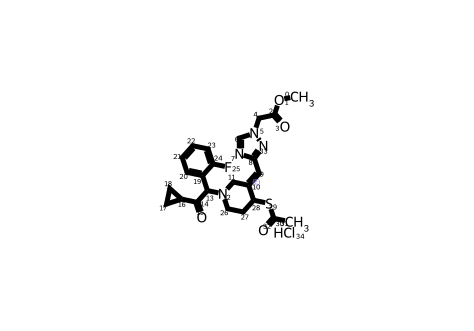 COC(=O)Cn1cnc(/C=C2\CN(C(C(=O)C3CC3)c3ccccc3F)CCC2SC(C)=O)n1.Cl